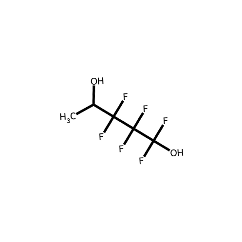 CC(O)C(F)(F)C(F)(F)C(O)(F)F